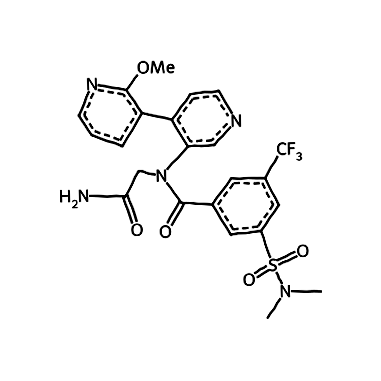 COc1ncccc1-c1ccncc1N(CC(N)=O)C(=O)c1cc(C(F)(F)F)cc(S(=O)(=O)N(C)C)c1